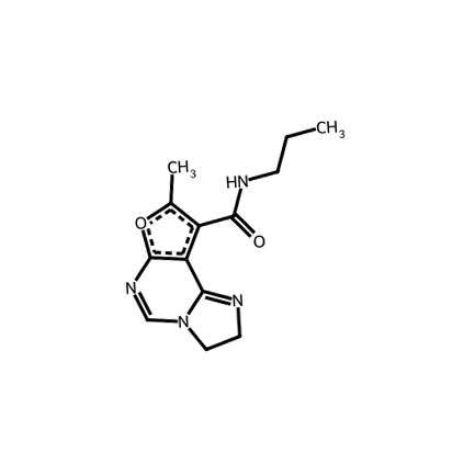 CCCNC(=O)c1c(C)oc2c1C1=NCCN1C=N2